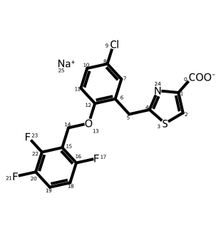 O=C([O-])c1csc(Cc2cc(Cl)ccc2OCc2c(F)ccc(F)c2F)n1.[Na+]